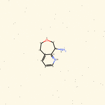 NC1COCCc2cccnc21